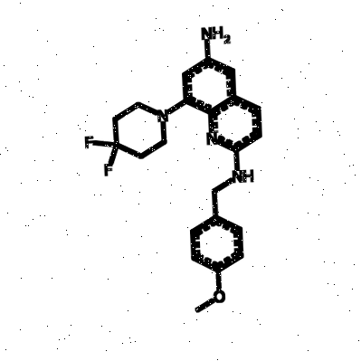 COc1ccc(CNc2ccc3cc(N)cc(N4CCC(F)(F)CC4)c3n2)cc1